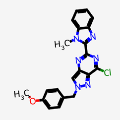 COc1ccc(Cn2cc3nc(-c4nc5ccccc5n4C)nc(Cl)c3n2)cc1